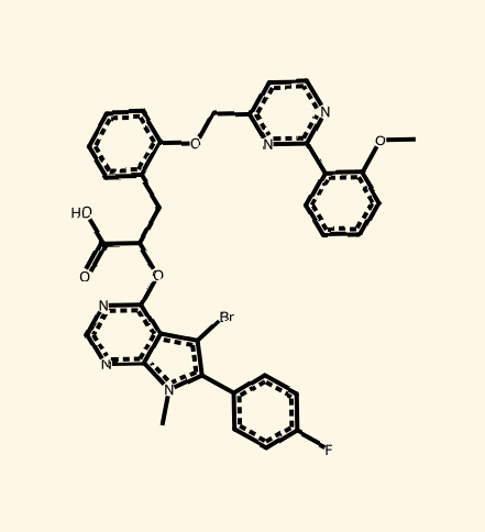 COc1ccccc1-c1nccc(COc2ccccc2CC(Oc2ncnc3c2c(Br)c(-c2ccc(F)cc2)n3C)C(=O)O)n1